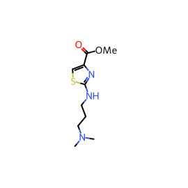 COC(=O)c1csc(NCCCN(C)C)n1